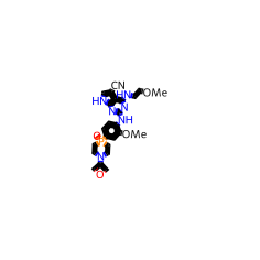 COCCNc1nc(Nc2ccc(P3(=O)CCN(C4COC4)CC3)cc2OC)nc2[nH]cc(C#N)c12